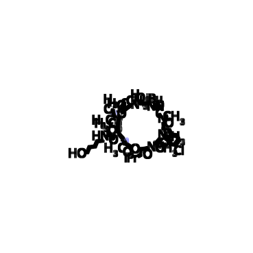 C/C=C(\C)[C@H]1OC(=O)C(C)(C)NC(=O)[C@H]([C@H](C)CC)NC(=O)CN(C)C(=O)[C@@H](Cc2ccc(Cl)cc2)N(C)C(=O)[C@H](C)NC(=O)[C@@H](CC(C)C)OC(=O)/C(C)=C/C[C@H](OC(=O)NCCCCCO)[C@@H]1C